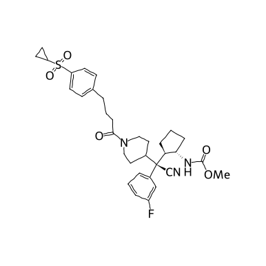 COC(=O)N[C@H]1CCC[C@@H]1[C@](C#N)(c1cccc(F)c1)C1CCN(C(=O)CCCc2ccc(S(=O)(=O)C3CC3)cc2)CC1